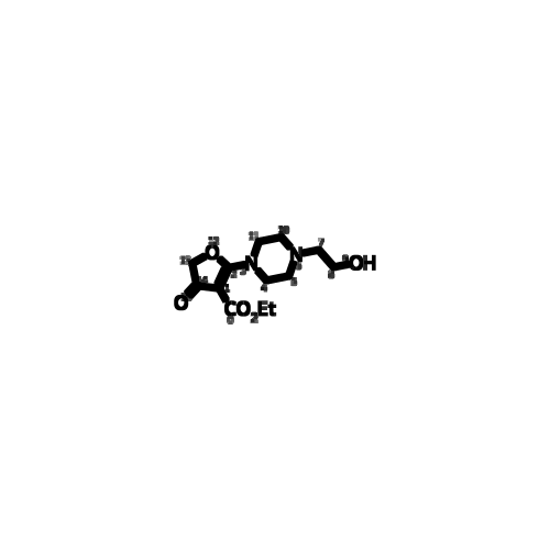 CCOC(=O)C1=C(N2CCN(CCO)CC2)OCC1=O